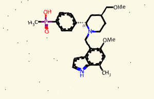 COCC1CCN(Cc2c(OC)cc(C)c3[nH]ccc23)[C@H](c2ccc(P(C)(=O)O)cc2)C1